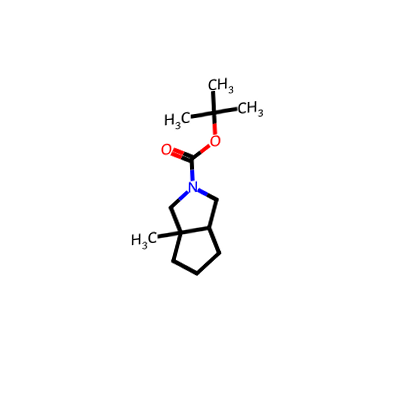 CC(C)(C)OC(=O)N1CC2CCCC2(C)C1